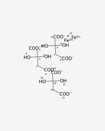 O=C([O-])CC(O)(O)C(=O)[O-].O=C([O-])CC(O)(O)C(=O)[O-].O=C([O-])CC(O)(O)C(=O)[O-].[Fe+3].[Fe+3]